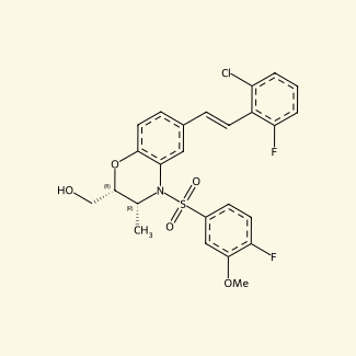 COc1cc(S(=O)(=O)N2c3cc(C=Cc4c(F)cccc4Cl)ccc3O[C@@H](CO)[C@H]2C)ccc1F